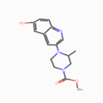 CC1CN(C(=O)OC(C)(C)C)CCN1c1cnc2ccc(O)cc2c1